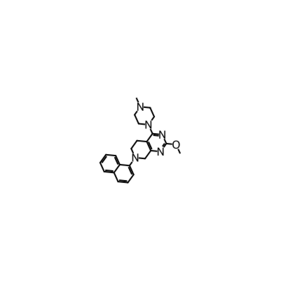 COc1nc2c(c(N3CCN(C)CC3)n1)CCN(c1cccc3ccccc13)C2